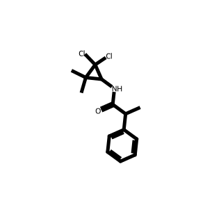 CC(C(=O)NC1C(C)(C)C1(Cl)Cl)c1ccccc1